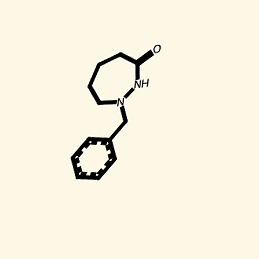 O=C1CCCCN(Cc2ccccc2)N1